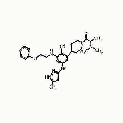 Cc1cc(Nc2cc(C3CCN(C(=O)C(C)N(C)C)CC3)c(C#N)c(NCCOc3ccccc3)n2)n[nH]1